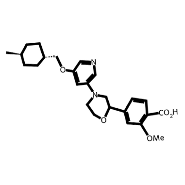 COc1cc(C2CN(c3cncc(OC[C@H]4CC[C@H](C)CC4)c3)CCO2)ccc1C(=O)O